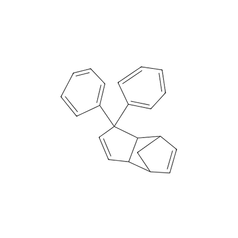 C1=CC2CC1C1C=CC(c3ccccc3)(c3ccccc3)C21